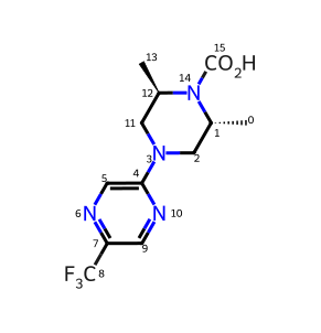 C[C@@H]1CN(c2cnc(C(F)(F)F)cn2)C[C@@H](C)N1C(=O)O